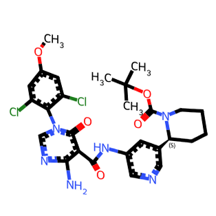 COc1cc(Cl)c(-n2cnc(N)c(C(=O)Nc3cncc([C@@H]4CCCCN4C(=O)OC(C)(C)C)c3)c2=O)c(Cl)c1